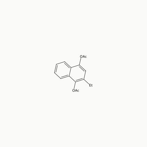 CCc1cc(OC(C)=O)c2ccccc2c1OC(C)=O